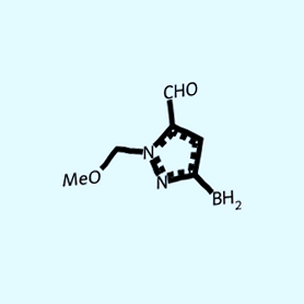 Bc1cc(C=O)n(COC)n1